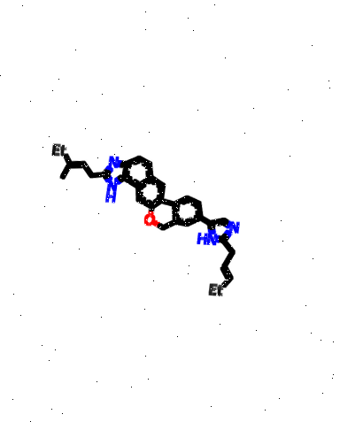 CCC=CCc1ncc(-c2ccc3c(c2)COc2cc4c(ccc5nc(CC=C(C)CC)[nH]c54)cc2-3)[nH]1